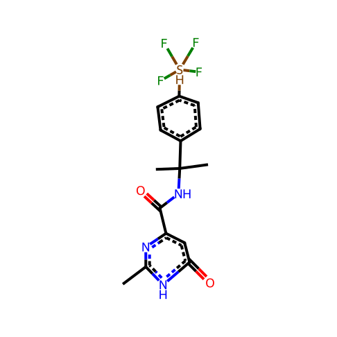 Cc1nc(C(=O)NC(C)(C)c2ccc([SH](F)(F)(F)F)cc2)cc(=O)[nH]1